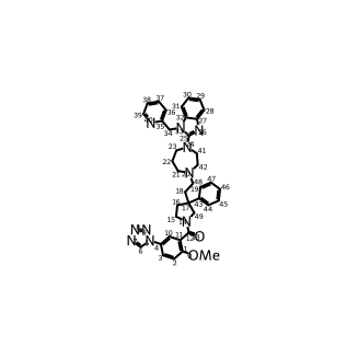 COc1ccc(-n2cnnn2)cc1C(=O)N1CCC(CCN2CCCN(c3nc4ccccc4n3Cc3ccccn3)CC2)(c2ccccc2)C1